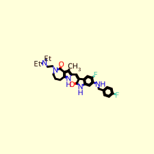 CCN(CC)CCN1CCCc2[nH]c(/C=C3\C(=O)Nc4cc(NCc5ccc(F)cc5)c(F)cc43)c(C)c2C1=O